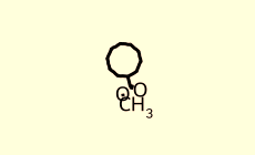 COC(=O)C1CCCCCCCCC1